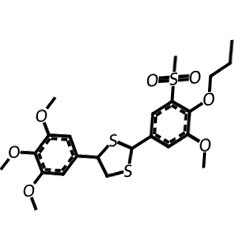 CCCOc1c(OC)cc(C2SCC(c3cc(OC)c(OC)c(OC)c3)S2)cc1S(C)(=O)=O